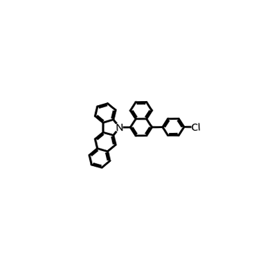 Clc1ccc(-c2ccc(-n3c4ccccc4c4cc5ccccc5cc43)c3ccccc23)cc1